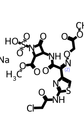 COC(=O)CO/N=C(\C(=O)NC1C(=O)N(S(=O)(=O)O)C1C(=O)OC)c1csc(NC(=O)CCl)n1.[NaH]